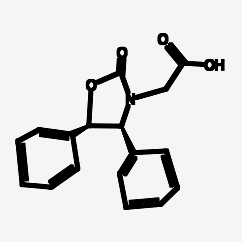 O=C(O)CN1C(=O)O[C@H](c2ccccc2)[C@@H]1c1ccccc1